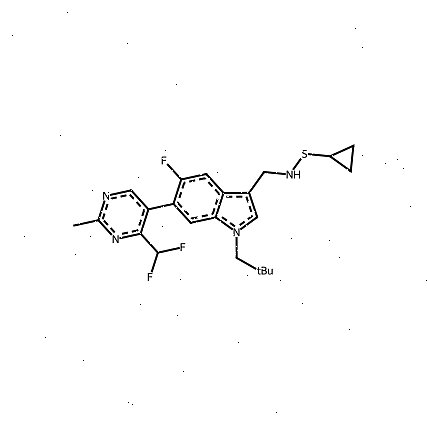 Cc1ncc(-c2cc3c(cc2F)c(CNSC2CC2)cn3CC(C)(C)C)c(C(F)F)n1